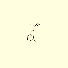 Cc1ccc(/C=C/C(=O)O)cc1C